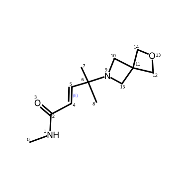 CNC(=O)/C=C/C(C)(C)N1CC2(COC2)C1